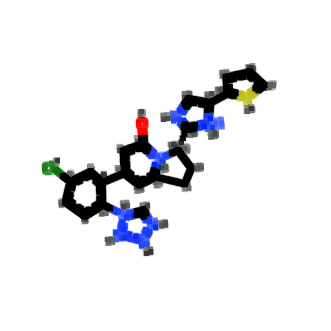 O=c1cc(-c2cc(Cl)ccc2-n2cnnn2)cc2n1[C@H](c1ncc(-c3cc[c]s3)[nH]1)CC2